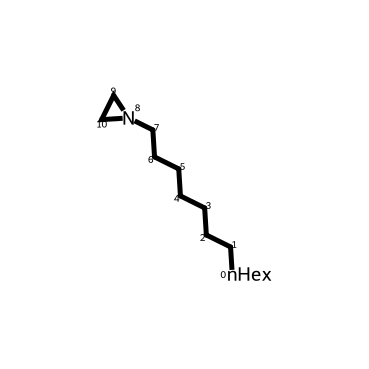 CCCCCCCCCCCCCN1CC1